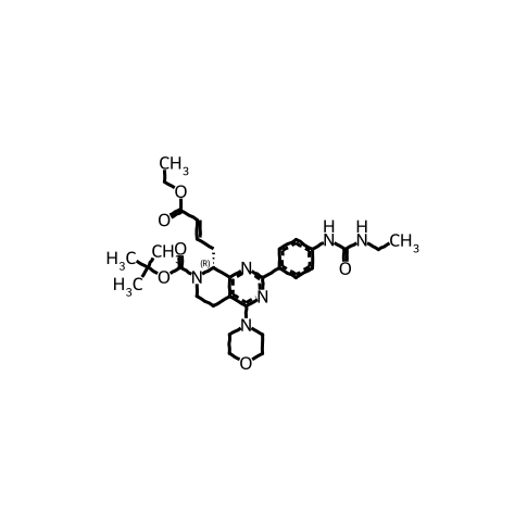 CCNC(=O)Nc1ccc(-c2nc3c(c(N4CCOCC4)n2)CCN(C(=O)OC(C)(C)C)[C@@H]3CC=CC(=O)OCC)cc1